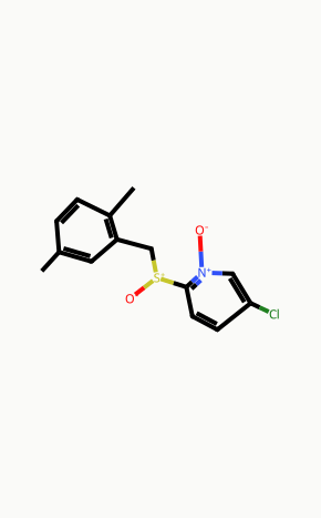 Cc1ccc(C)c(C[S+]([O-])c2ccc(Cl)c[n+]2[O-])c1